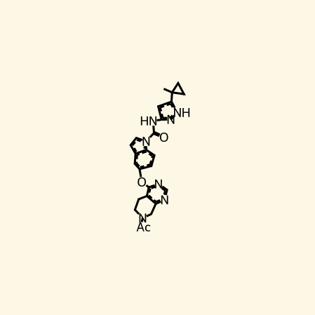 CC(=O)N1CCc2c(ncnc2Oc2ccc3c(ccn3C(=O)Nc3cc(C4(C)CC4)[nH]n3)c2)C1